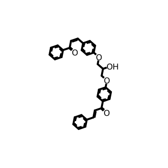 O=C(/C=C\c1ccc(OCC(O)COc2ccc(C(=O)/C=C/c3ccccc3)cc2)cc1)c1ccccc1